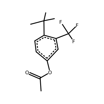 CC(=O)Oc1ccc(C(C)(C)C)c(C(F)(F)F)c1